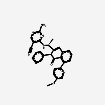 COc1ccc(-c2cccc3c2C(=O)C(c2ccccc2)C([C@H](C)Nc2nc(N)ncc2C#N)=C3)nc1